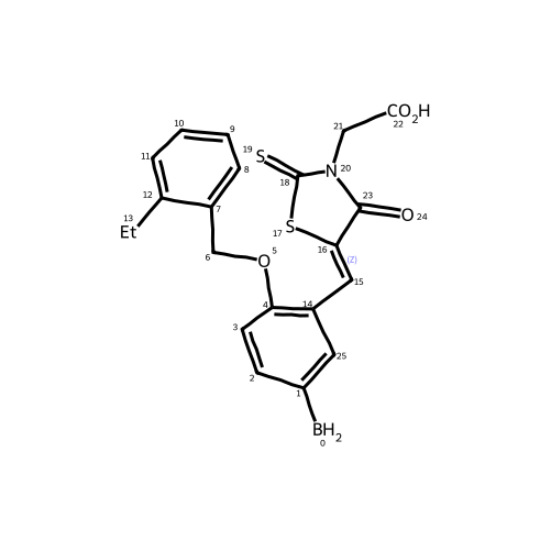 Bc1ccc(OCc2ccccc2CC)c(/C=C2\SC(=S)N(CC(=O)O)C2=O)c1